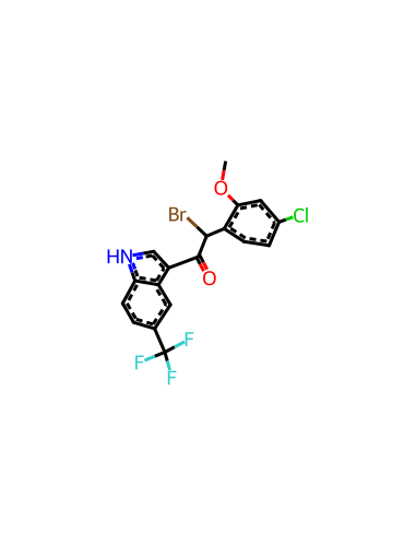 COc1cc(Cl)ccc1C(Br)C(=O)c1c[nH]c2ccc(C(F)(F)F)cc12